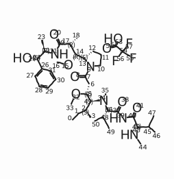 CC[C@H](C)[C@@H]([C@@H](CC(=O)N1CCC[C@H]1[C@H](OC)[C@@H](C)C(=O)N[C@H](C)[C@@H](O)c1ccccc1)OC)N(C)[C@H](C(=O)NC(=O)[C@@H](NC)C(C)C)C(C)C.O=C(O)C(F)(F)F